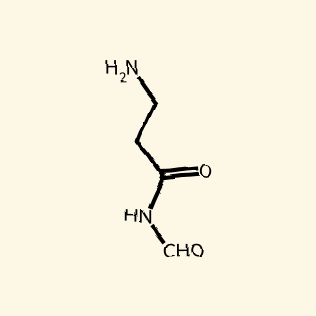 NCCC(=O)NC=O